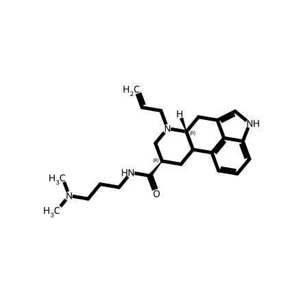 C=CCN1C[C@H](C(=O)NCCCN(C)C)CC2c3cccc4[nH]cc(c34)C[C@H]21